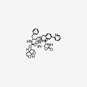 CC(C)[C@H]1OC(=O)N[C@@H]1C(=O)NN(Cc1ccc(-c2ccccn2)cc1)C[C@H](O)[C@H](Cc1ccccc1)NC(=O)O[C@H]1CO[C@H]2OCC[C@H]21